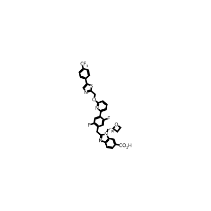 O=C(O)c1ccc2nc(Cc3cc(F)c(-c4cccc(OCc5ncc(-c6ccc(C(F)(F)F)cc6)s5)n4)cc3F)n(C[C@H]3CCO3)c2c1